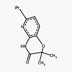 CC(C)c1ccc2c(n1)NC(=O)C(C)(C)O2